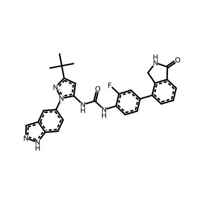 CC(C)(C)c1cc(NC(=O)Nc2ccc(-c3cccc4c3CNC4=O)cc2F)n(-c2ccc3[nH]ncc3c2)n1